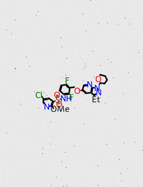 CCc1nn(C2CCCCO2)c2ncc(OCc3c(F)ccc(NS(=O)(=O)c4cc(Cl)cnc4OC)c3F)cc12